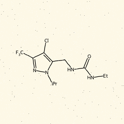 CCNC(=O)NCc1c(Cl)c(C(F)(F)F)nn1C(C)C